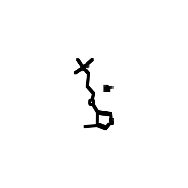 Cc1cscc1OCCC[N+](C)(C)C.[Br-]